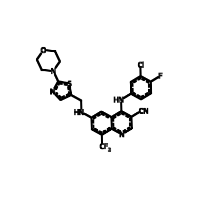 N#Cc1cnc2c(C(F)(F)F)cc(NCc3cnc(N4CCOCC4)s3)cc2c1Nc1ccc(F)c(Cl)c1